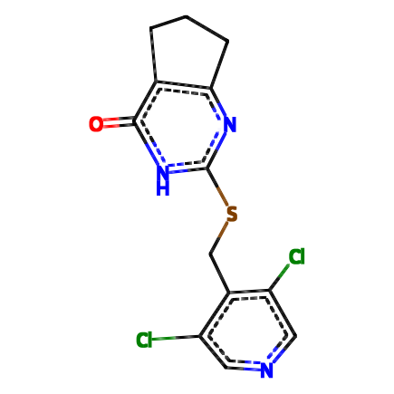 O=c1[nH]c(SCc2c(Cl)cncc2Cl)nc2c1CCC2